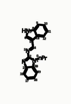 CCCn1c(N=Cc2c[nH]c3ccccc23)nc2ccccc21